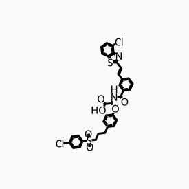 O=C(NC(Oc1ccc(CCCS(=O)(=O)c2ccc(Cl)cc2)cc1)C(=O)O)c1cccc(C=Cc2nc3c(Cl)cccc3s2)c1